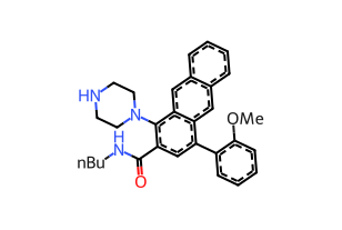 CCCCNC(=O)c1cc(-c2ccccc2OC)c2cc3ccccc3cc2c1N1CCNCC1